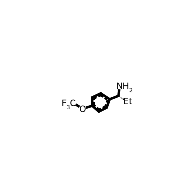 CC[C@@H](N)c1ccc(OC(F)(F)F)cc1